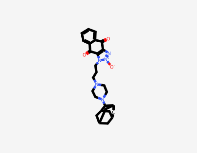 O=C1c2ccccc2C(=O)c2c1n[n+]([O-])n2CCCN1CCN(C2C3CC4CC(C3)CC2C4)CC1